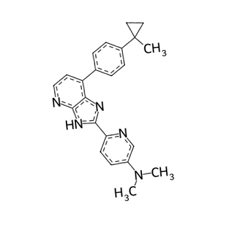 CN(C)c1ccc(-c2nc3c(-c4ccc(C5(C)CC5)cc4)ccnc3[nH]2)nc1